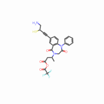 CC(CC(=O)OC(=O)C(F)(F)F)N1CC(=O)N(c2ccccc2)c2ccc(C#CC(S)CN)cc2C1=O